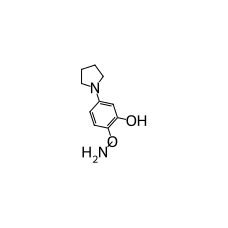 NOc1ccc(N2CCCC2)cc1O